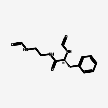 O=CNCCNC(=O)[C@@H](Cc1ccccc1)NC=O